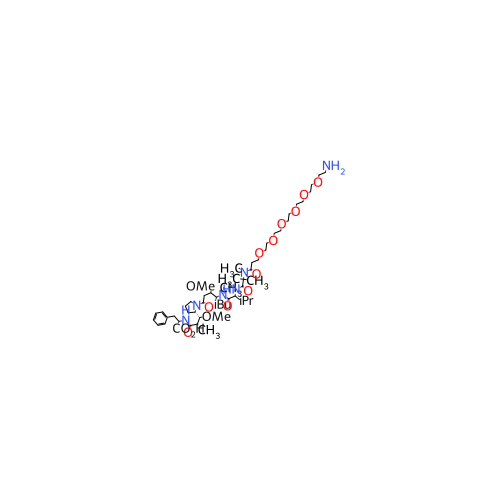 CCC(C)C(C(CC(=O)N1CCC[C@H]1C(OC)C(C)C(=O)NC(Cc1ccccc1)C(=O)O)OC)N(C)C(=O)C(NC(=O)C(C)(C)N(C)C(=O)CCOCCOCCOCCOCCOCCOCCN)C(C)C